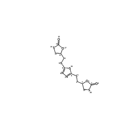 O=C1OC(CSc2nnc(SCC3CSC(=O)O3)s2)CS1